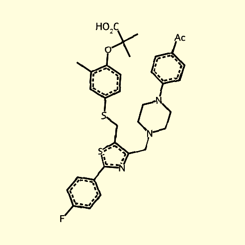 CC(=O)c1ccc(N2CCN(Cc3nc(-c4ccc(F)cc4)sc3CSc3ccc(OC(C)(C)C(=O)O)c(C)c3)CC2)cc1